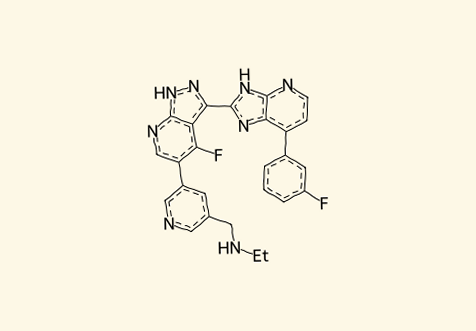 CCNCc1cncc(-c2cnc3[nH]nc(-c4nc5c(-c6cccc(F)c6)ccnc5[nH]4)c3c2F)c1